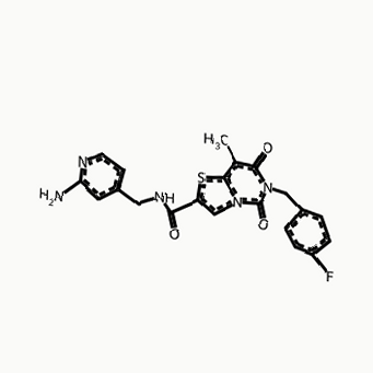 Cc1c(=O)n(Cc2ccc(F)cc2)c(=O)n2cc(C(=O)NCc3ccnc(N)c3)sc12